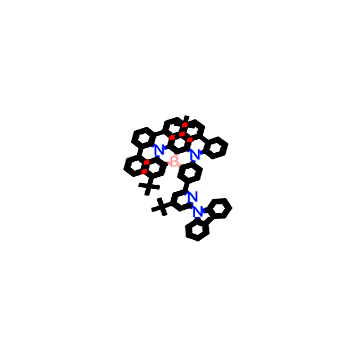 CC(C)(C)c1cc(-c2ccc3c(c2)B2c4cc(C(C)(C)C)ccc4N(c4c(-c5ccccc5)cccc4-c4ccccc4)c4cc(C(C)(C)C)cc(c42)N3c2ccccc2-c2ccccc2)nc(-n2c3ccccc3c3ccccc32)c1